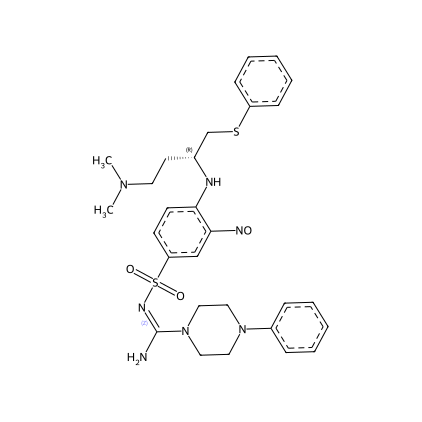 CN(C)CC[C@H](CSc1ccccc1)Nc1ccc(S(=O)(=O)/N=C(/N)N2CCN(c3ccccc3)CC2)cc1N=O